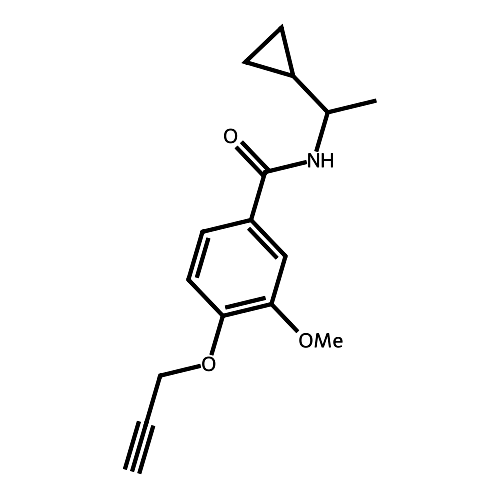 C#CCOc1ccc(C(=O)NC(C)C2CC2)cc1OC